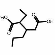 CCCC(CC(=O)O)C(CC)C(=O)O